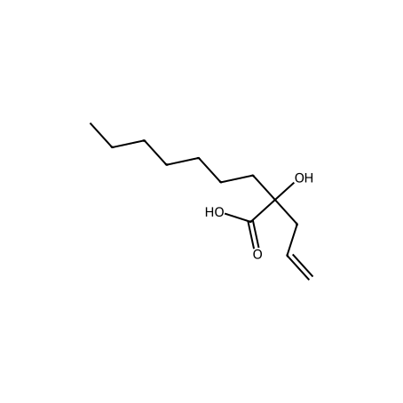 C=CCC(O)(CCCCCCC)C(=O)O